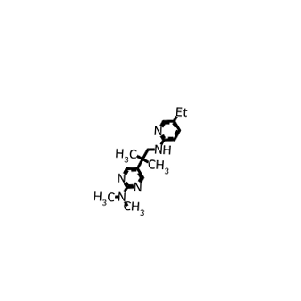 CCc1ccc(NCC(C)(C)c2cnc(N(C)C)nc2)nc1